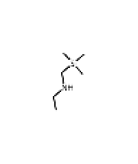 CCNC[Si](C)(C)C